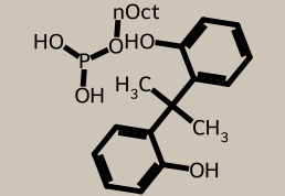 CC(C)(c1ccccc1O)c1ccccc1O.CCCCCCCCOP(O)O